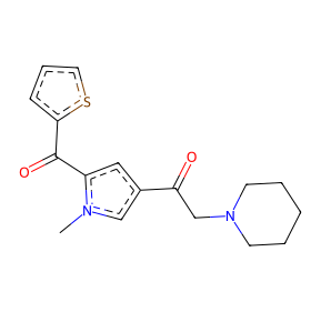 Cn1cc(C(=O)CN2CCCCC2)cc1C(=O)c1cccs1